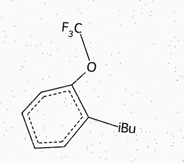 CCC(C)c1ccccc1OC(F)(F)F